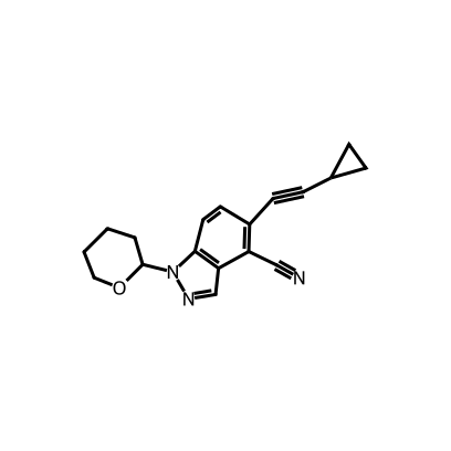 N#Cc1c(C#CC2CC2)ccc2c1cnn2C1CCCCO1